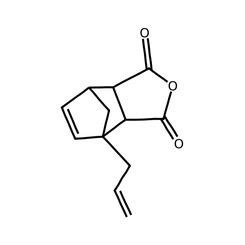 C=CCC12C=CC(C1)C1C(=O)OC(=O)C12